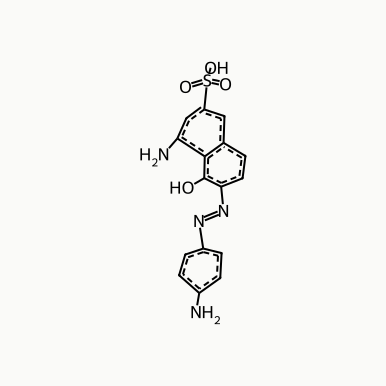 Nc1ccc(N=Nc2ccc3cc(S(=O)(=O)O)cc(N)c3c2O)cc1